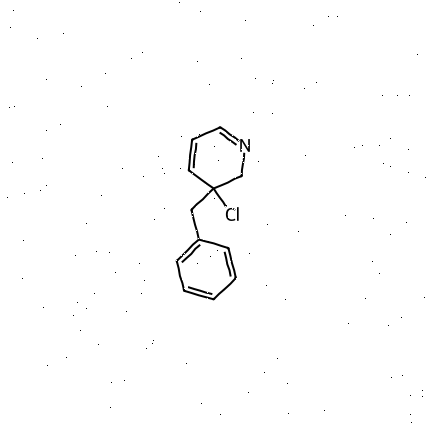 ClC1(Cc2ccccc2)C=CC=NC1